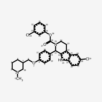 CN1CCCC(COc2ccc(C3c4[nH]c5ccc(Cl)cc5c4CCN3C(=O)Oc3cccc(Cl)c3)cc2)C1